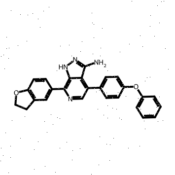 Nc1n[nH]c2c(-c3ccc4c(c3)CCO4)ncc(-c3ccc(Oc4ccccc4)cc3)c12